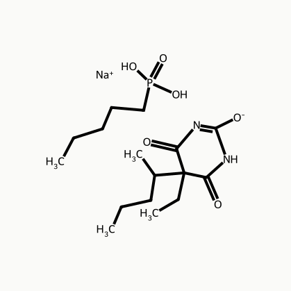 CCCC(C)C1(CC)C(=O)N=C([O-])NC1=O.CCCCCP(=O)(O)O.[Na+]